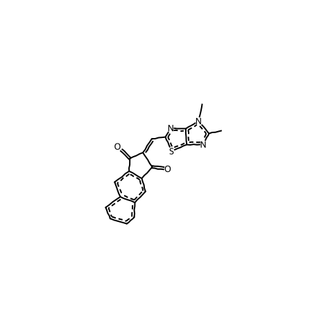 Cc1nc2sc(C=C3C(=O)c4cc5ccccc5cc4C3=O)nc2n1C